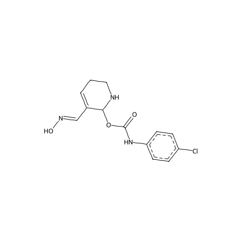 O=C(Nc1ccc(Cl)cc1)OC1NCCC=C1C=NO